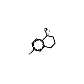 C[C@H]1CCCc2cc(F)ccc21